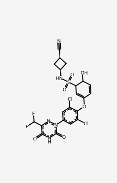 N#C[C@H]1C[C@@H](NS(=O)(=O)C2C=C(Oc3c(Cl)cc(-n4nc(C(F)F)c(=O)[nH]c4=O)cc3Cl)C=CC2O)C1